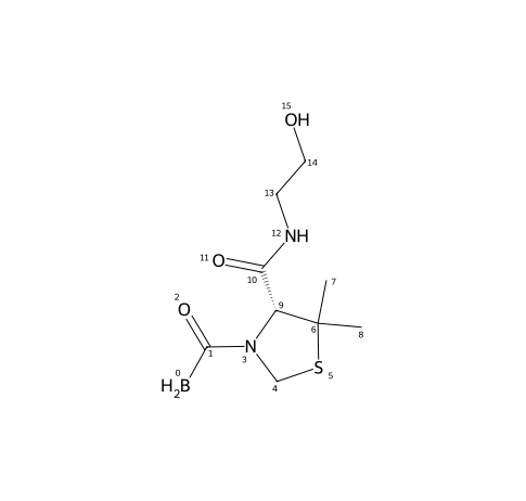 BC(=O)N1CSC(C)(C)[C@H]1C(=O)NCCO